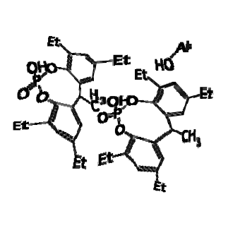 CCc1cc(CC)c2c(c1)C(C)c1cc(CC)cc(CC)c1OP(=O)(O)O2.CCc1cc(CC)c2c(c1)C(C)c1cc(CC)cc(CC)c1OP(=O)(O)O2.[OH][Al]